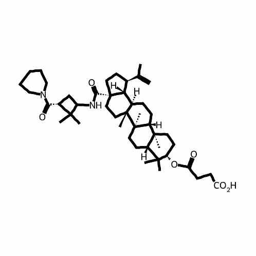 C=C(C)[C@@H]1CC[C@]2(C(=O)NC3C[C@@H](C(=O)N4CCCCC4)C3(C)C)CC[C@]3(C)[C@H](CC[C@@H]4[C@@]5(C)CC[C@H](OC(=O)CCC(=O)O)C(C)(C)[C@@H]5CC[C@]43C)[C@@H]12